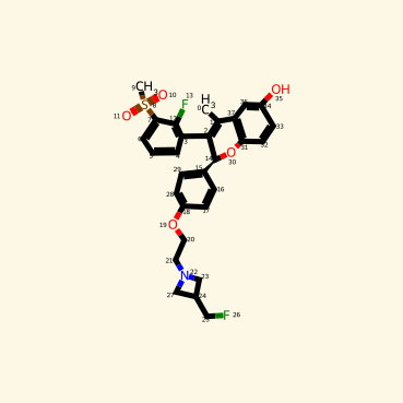 CC1=C(c2cccc(S(C)(=O)=O)c2F)[C@H](c2ccc(OCCN3CC(CF)C3)cc2)Oc2ccc(O)cc21